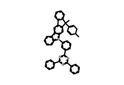 CC1C=CC(C2(C)c3ccccc3-c3cc4c5ccccc5n(-c5cccc(-c6nc(-c7ccccc7)nc(-c7ccccc7)n6)c5)c4cc32)=CC1